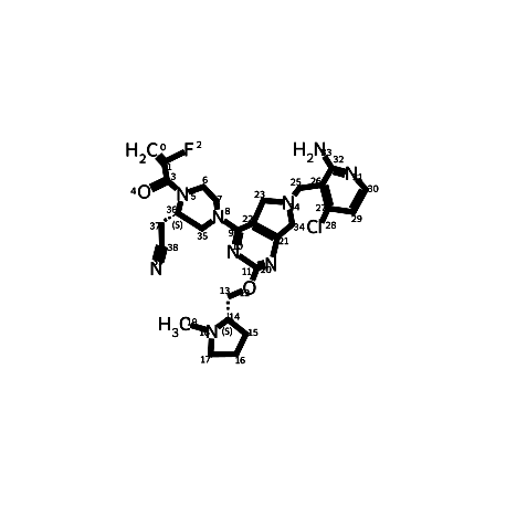 C=C(F)C(=O)N1CCN(c2nc(OC[C@@H]3CCCN3C)nc3c2CN(Cc2c(Cl)ccnc2N)C3)C[C@@H]1CC#N